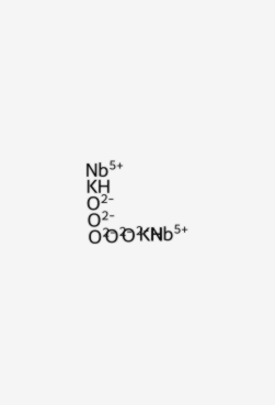 [KH].[KH].[Nb+5].[Nb+5].[O-2].[O-2].[O-2].[O-2].[O-2]